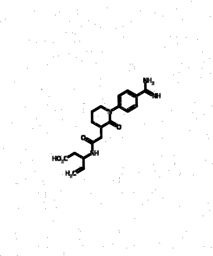 C=CC(CC(=O)O)NC(=O)CC1CCCN(c2ccc(C(=N)N)cc2)C1=O